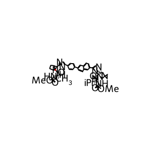 COC(=O)N[C@@H](C)C(=O)N1C2CCC(C2)C1c1ncc(-c2ccc(-c3ccc4cc(-c5cnc([C@@H]6CC7(CC7)CN6C(=O)[C@@H](NC(=O)OC)C(C)C)[nH]5)ccc4c3)cc2)[nH]1